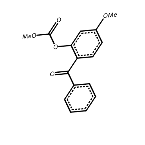 COC(=O)Oc1cc(OC)ccc1C(=O)c1ccccc1